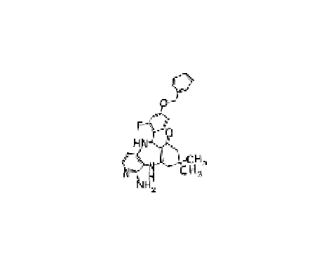 CC1(C)CC(=O)C2=C(C1)Nc1c(ccnc1N)NC2c1ccc(OCc2ccccc2)cc1F